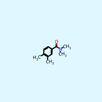 Cc1ccc(C(=O)N(C)C)cc1C